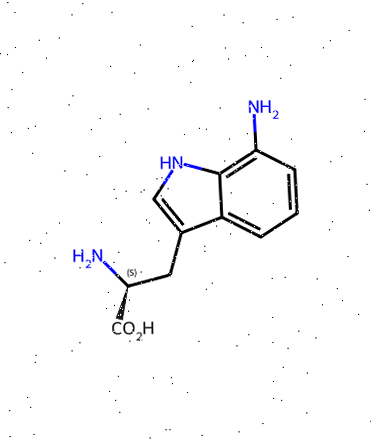 Nc1cccc2c(C[C@H](N)C(=O)O)c[nH]c12